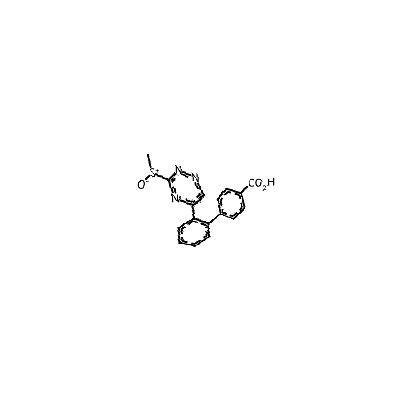 C[S+]([O-])c1nncc(-c2ccccc2-c2ccc(C(=O)O)cc2)n1